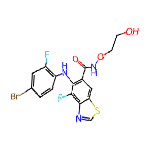 O=C(NOCCO)c1cc2scnc2c(F)c1Nc1ccc(Br)cc1F